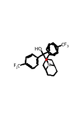 OC(c1ccc(C(F)(F)F)cc1)(c1ccc(C(F)(F)F)cc1)C1CC2CCCC(C1)N2Cc1ccccc1